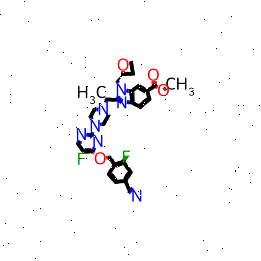 COC(=O)c1ccc2nc([C@H](C)N3CCN(c4ncc(F)c(OCc5ccc(C#N)cc5F)n4)CC3)n(C[C@@H]3CCO3)c2c1